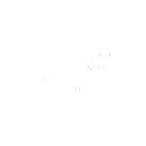 CCOC(=O)C(CCC1CCN(C(=O)OC(C)(C)C)CC1)C(=O)O